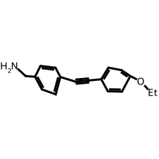 CCOc1ccc(C#Cc2ccc(CN)cc2)cc1